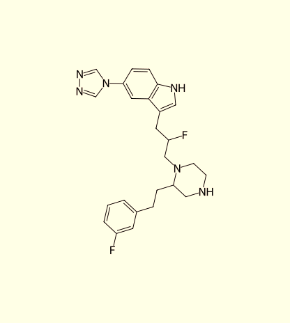 Fc1cccc(CCC2CNCCN2CC(F)Cc2c[nH]c3ccc(-n4cnnc4)cc23)c1